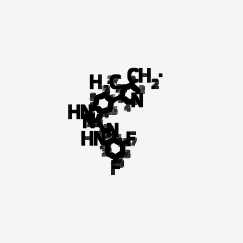 [CH2]c1cncc(-c2ccc3[nH]nc(-c4nc5c(F)cc(F)cc5[nH]4)c3c2)c1C